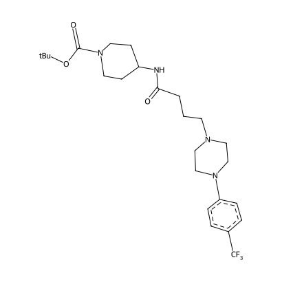 CC(C)(C)OC(=O)N1CCC(NC(=O)CCCN2CCN(c3ccc(C(F)(F)F)cc3)CC2)CC1